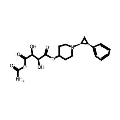 NC(=O)OC(=O)C(O)C(O)C(=O)OC1CCN([C@H]2C[C@H]2c2ccccc2)CC1